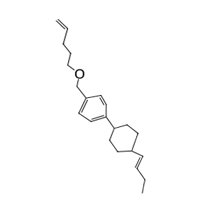 C=CCCCOCc1ccc(C2CCC(C=CCC)CC2)cc1